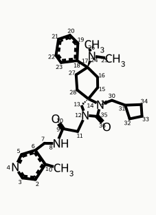 Cc1ccncc1CNC(=O)CN1C[C@]2(CC[C@](c3ccccc3)(N(C)C)CC2)N(CC2CCC2)C1=O